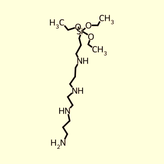 CCO[Si](CCCNCCCNCCNCCCN)(OCC)OCC